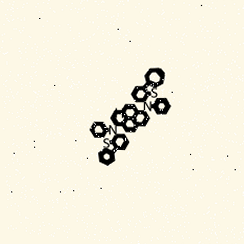 CC12C=CC3=C4C(C=C[C@@H](CC=C1N(C1=CCCC=C1)C1CC=CC5c6ccccc6SC51)C42)C(N(c1ccccc1)C1CC=CC2C4=C(CC#CCC4)SC21)C=C3